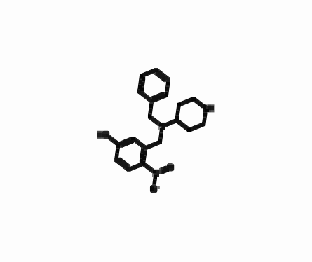 O=[N+]([O-])c1ccc(O)cc1CN(Cc1ccccc1)C1CCNCC1